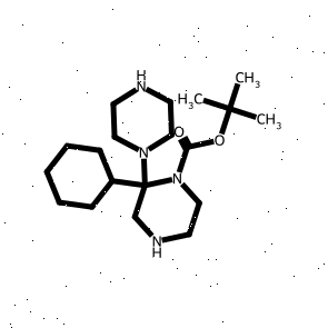 CC(C)(C)OC(=O)N1CCNCC1(C1CCCCC1)N1CCNCC1